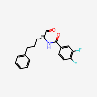 O=[C][C@@H](CCCc1ccccc1)NC(=O)c1ccc(F)c(F)c1